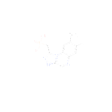 O=[N+]([O-])c1cc2c(cc1C(F)(F)F)ncc1nnc(CP(=O)(O)O)n12